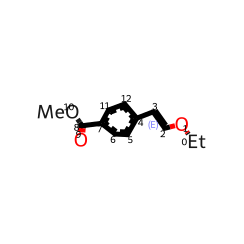 CCO/C=C/c1ccc(C(=O)OC)cc1